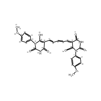 COc1ccc(N2C(=O)NC(=O)/C(=C/C=C/C=C/c3c(O)n(-c4ccc(OC)cc4)c(=O)[nH]c3=O)C2=O)cc1